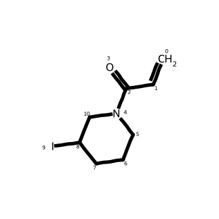 C=CC(=O)N1CCCC(I)C1